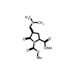 COC(=O)C1CC(=CN(C)C)C(=O)N1C(=O)OC(C)(C)C